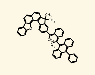 C/C(c1ccc2c(c1)C(C)(C)c1ccc3ccc4c5ccccc5oc4c3c1-2)=c1/cccc/c1=C(/C)c1c2ccccc2c(-c2ccccc2)c2ccccc12